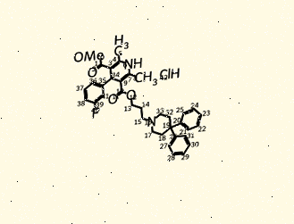 COC(=O)C1=C(C)NC(C)=C(C(=O)OCCCN2CCC(c3ccccc3)(c3ccccc3)CC2)C1c1cccc(F)c1.Cl